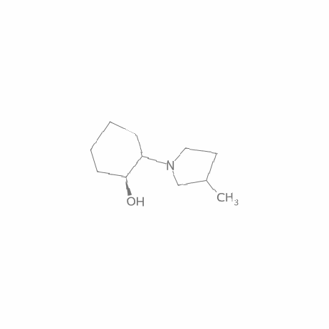 CC1CCN(C2CCCC[C@@H]2O)C1